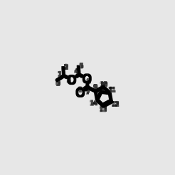 CC(C)OC(C)OC(=O)C1CC2C=CC1C2